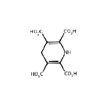 O=C(O)C1=C(C(=O)O)NC(C(=O)O)=C(C(=O)O)C1